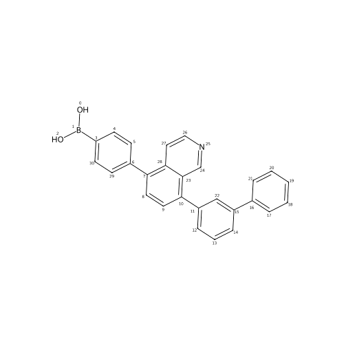 OB(O)c1ccc(-c2ccc(-c3cccc(-c4ccccc4)c3)c3cnccc23)cc1